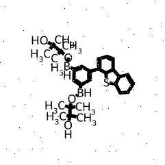 CC(C)(O)C(C)(C)OBc1cc(BOC(C)(C)C(C)(C)O)cc(C2=CC=CC3C2SC2CCC=CC23)c1